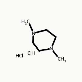 CN1CCN(C)CC1.Cl.Cl